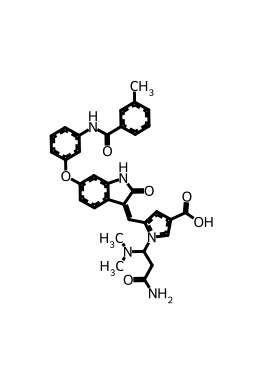 Cc1cccc(C(=O)Nc2cccc(Oc3ccc4c(c3)NC(=O)C4=Cc3cc(C(=O)O)cn3C(CC(N)=O)N(C)C)c2)c1